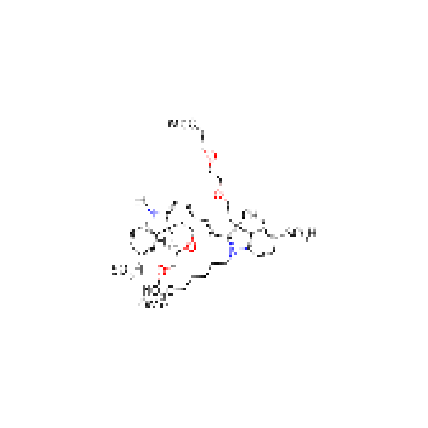 CCN1/C(=C/C=C/C=C/C2=[N+](CCCCCC(=O)O)c3ccc(S(=O)(=O)O)cc3C2(C)CCOCCOCCOC)C(C)(CCOCCOCCOC)c2cc(S(=O)(=O)O)ccc21